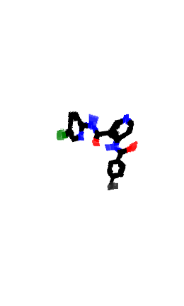 CC(C)(C)c1ccc(C(=O)Nc2ccncc2C(=O)Nc2ccc(Cl)cn2)cc1